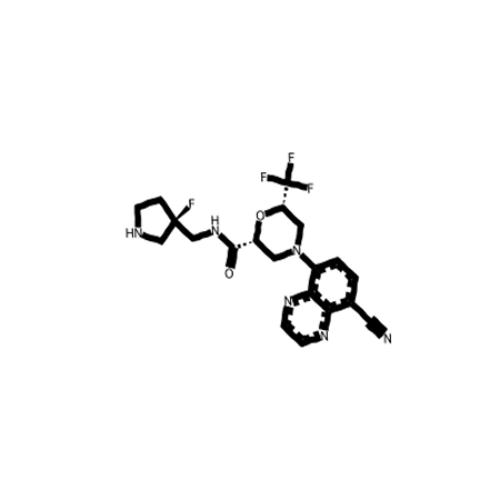 N#Cc1ccc(N2C[C@@H](C(F)(F)F)O[C@@H](C(=O)NC[C@@]3(F)CCNC3)C2)c2nccnc12